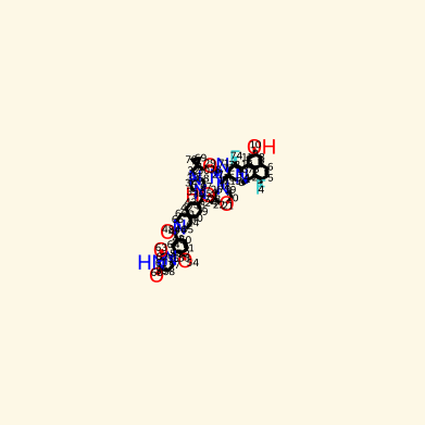 C#Cc1c(F)ccc2cc(O)cc(-c3ncc4c(N5CCOCC(C)(O)C5)nc(OCC5(CN6CCN(CC7CCC8(CC7)CCN(C(=O)c7ccc(OC)c(N9CCC(=O)NC9=O)c7)CC8)CC6)CC5)nc4c3F)c12